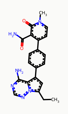 CCc1cc(-c2ccc(-c3ccn(C)c(=O)c3C(N)=O)cc2)c2c(N)ncnn12